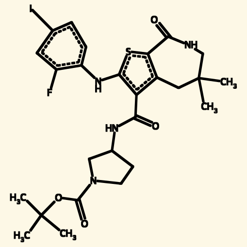 CC1(C)CNC(=O)c2sc(Nc3ccc(I)cc3F)c(C(=O)NC3CCN(C(=O)OC(C)(C)C)C3)c2C1